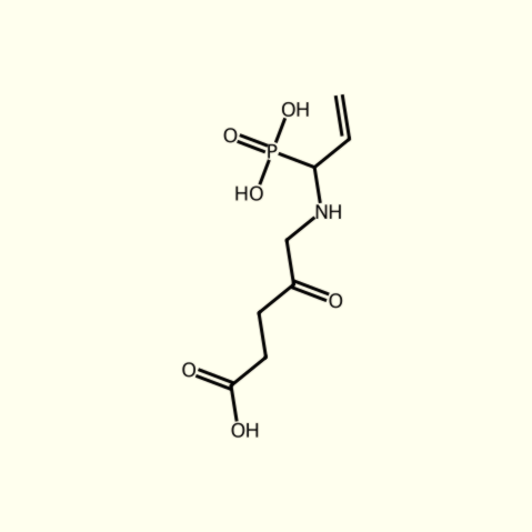 C=CC(NCC(=O)CCC(=O)O)P(=O)(O)O